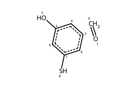 C=O.Oc1cccc(S)c1